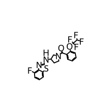 O=C(c1ccccc1OC(F)(F)C(F)F)N1CCC(Nc2nc3c(F)cccc3s2)C1